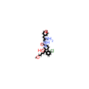 COCCCC[C@@](O)(c1cccc(Cl)c1)[C@@H]1CCCN(C(=O)NC[C@@H](N)CC2CCOCC2)C1